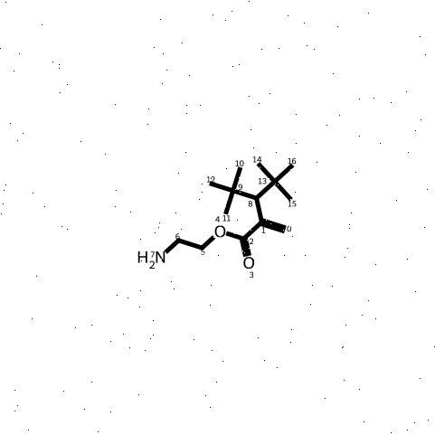 C=C(C(=O)OCCN)C(C(C)(C)C)C(C)(C)C